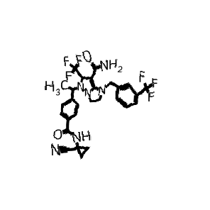 CC(c1ccc(C(=O)NC2(C#N)CC2)cc1)N1C(C(F)(F)F)C(C(N)=O)=C2N(Cc3cccc(C(F)(F)F)c3)CCN21